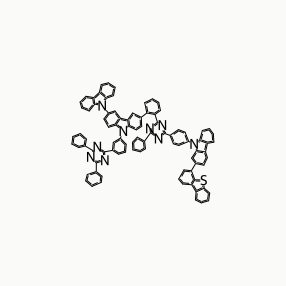 c1ccc(-c2nc(-c3ccccc3)nc(-c3cccc(-n4c5ccc(-c6ccccc6-c6nc(-c7ccccc7)nc(-c7ccc(-n8c9ccccc9c9ccc(-c%10cccc%11c%10sc%10ccccc%10%11)cc98)cc7)n6)cc5c5cc(-n6c7ccccc7c7ccccc76)ccc54)c3)n2)cc1